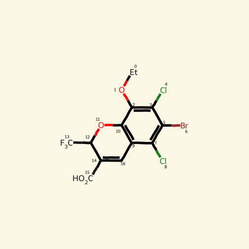 CCOc1c(Cl)c(Br)c(Cl)c2c1OC(C(F)(F)F)C(C(=O)O)=C2